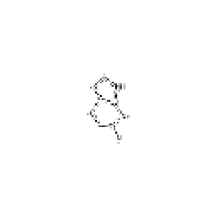 Clc1c[c]c2cc[nH]c2n1